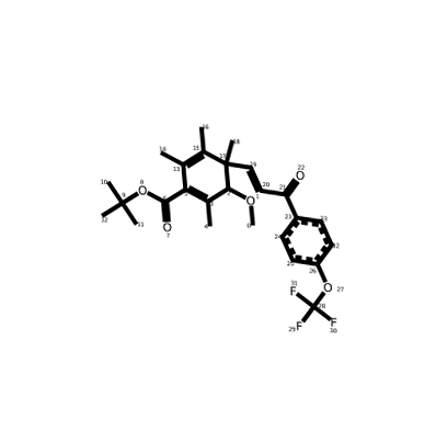 COC1C(C)=C(C(=O)OC(C)(C)C)C(C)=C(C)C1(C)C=CC(=O)c1ccc(OC(F)(F)F)cc1